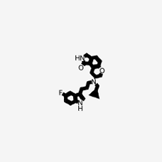 O=C1NCc2ccc3c(c21)C[C@@H](N(CCCc1c[nH]c2ccc(F)cc12)CC1CC1)CO3